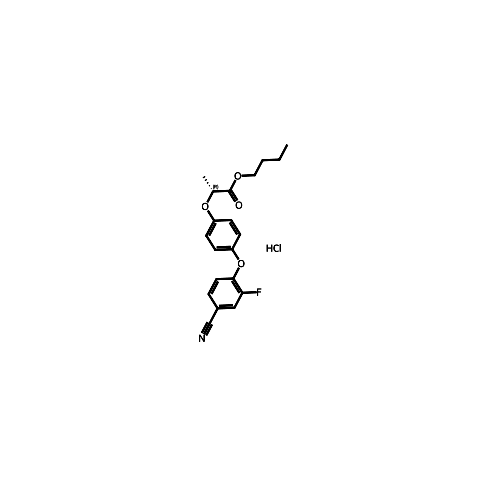 CCCCOC(=O)[C@@H](C)Oc1ccc(Oc2ccc(C#N)cc2F)cc1.Cl